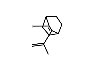 C=C(C)C1=C(I)C2CCC1CC2